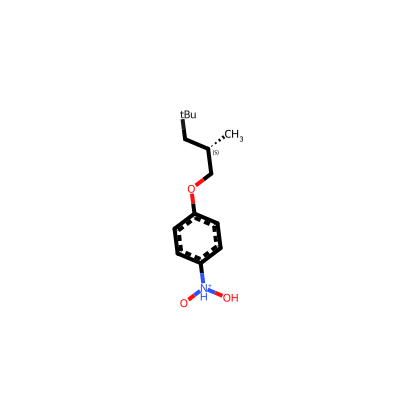 C[C@H](COc1ccc([NH+]([O-])O)cc1)CC(C)(C)C